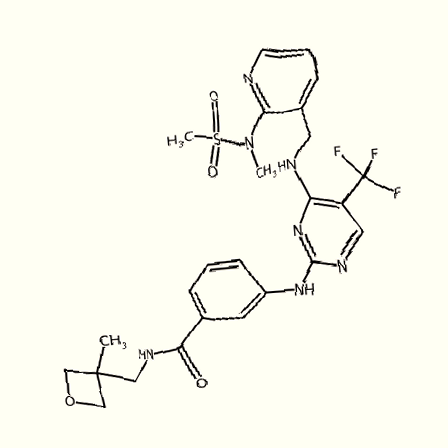 CN(c1ncccc1CNc1nc(Nc2cccc(C(=O)NCC3(C)COC3)c2)ncc1C(F)(F)F)S(C)(=O)=O